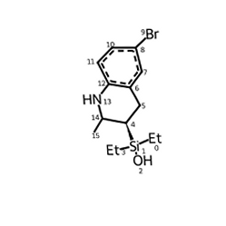 CC[Si](O)(CC)[C@@H]1Cc2cc(Br)ccc2NC1C